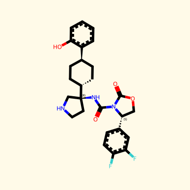 O=C(N[C@@]1([C@H]2CC[C@H](c3ccccc3O)CC2)CCNC1)N1C(=O)OC[C@@H]1c1ccc(F)c(F)c1